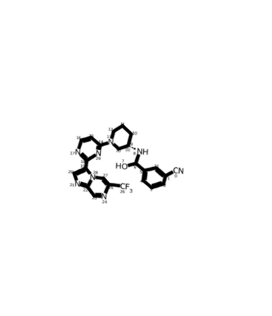 N#Cc1cccc(C(O)N[C@H]2CCCN(c3ccnc(-c4cnc5cnc(C(F)(F)F)cn45)n3)C2)c1